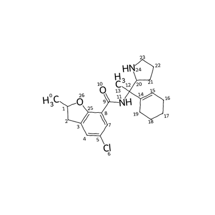 CC1Cc2cc(Cl)cc(C(=O)NC(C)(C3=CCCCC3)C3CCCN3)c2O1